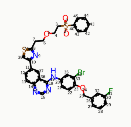 O=S(=O)(CCOCCc1nc(-c2ccc3ncnc(Nc4ccc(OCc5cccc(F)c5)c(Br)c4)c3c2)cs1)c1ccccc1